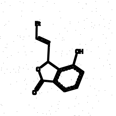 CCC=CC1OC(=O)c2cccc(O)c21